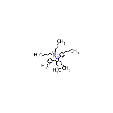 CCCCC1=C(c2ccc(CCCC)cc2)[N+](=[N-])C(c2cccc(C)c2)=C1CCCC.CCCCC=[CH][Ni][CH]=CCCCC